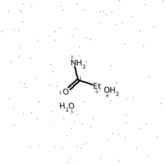 CCC(N)=O.O.O